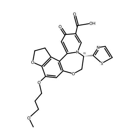 COCCCOc1cc2c(c3c1OCC3)-c1cc(=O)c(C(=O)O)cn1[C@H](c1nccs1)CO2